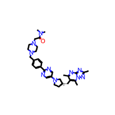 Cc1nc2nc(C)c(C[C@@H]3CCN(c4cnc(-c5ccc(CN6CCN(CC(=O)N(C)C)CC6)cc5)nc4)C3)c(C)n2n1